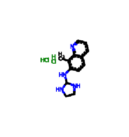 Cc1c(NC2NCCN2)ccc2cccnc12.Cl.Cl